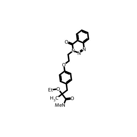 CCOC(C)(Cc1ccc(OCCn2nnc3ccccc3c2=O)cc1)C(=O)NC